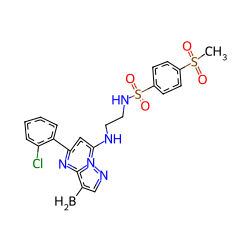 Bc1cnn2c(NCCNS(=O)(=O)c3ccc(S(C)(=O)=O)cc3)cc(-c3ccccc3Cl)nc12